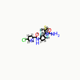 NC1=N[C@@](c2cc(NC(=O)c3ccc(Cl)cn3)ccc2F)(C(F)F)[C@H]2S[C@H]2O1